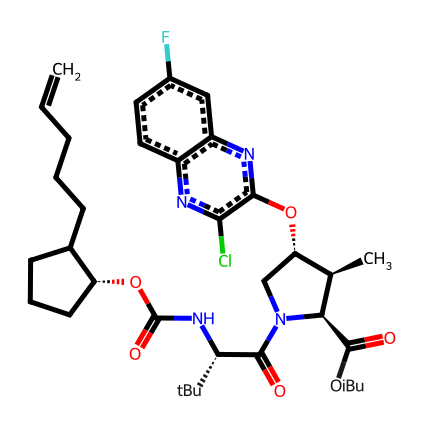 C=CCCCC1CCC[C@H]1OC(=O)N[C@H](C(=O)N1C[C@H](Oc2nc3cc(F)ccc3nc2Cl)[C@@H](C)[C@H]1C(=O)OCC(C)C)C(C)(C)C